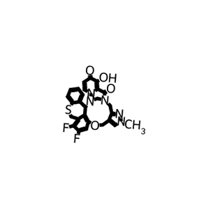 Cn1cc2c(n1)CN1CN(C3c4ccccc4SCc4c(F)c(F)cc(c43)OC2)n2ccc(=O)c(O)c2C1=O